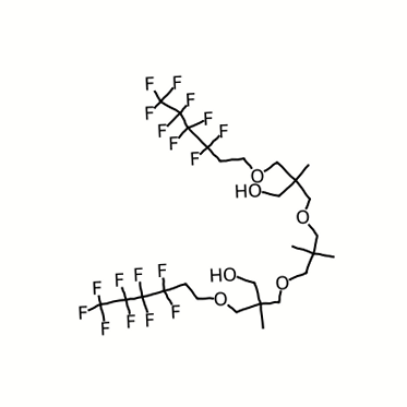 CC(C)(COCC(C)(CO)COCCC(F)(F)C(F)(F)C(F)(F)C(F)(F)F)COCC(C)(CO)COCCC(F)(F)C(F)(F)C(F)(F)C(F)(F)F